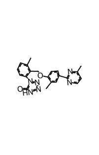 Cc1ccnc(-c2ccc(OCc3c(C)cccc3-n3nn[nH]c3=O)c(C)c2)n1